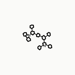 c1ccc(-c2cc(-c3ccc(-c4cc(-c5ccccc5)cc(-n5c6ccccc6c6ccccc65)c4)cc3)cc(-c3cc(-c4ccccc4)nc(-c4ccccc4)c3)c2)cc1